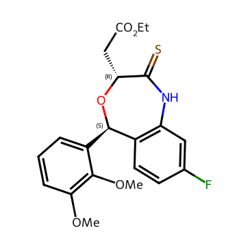 CCOC(=O)C[C@H]1O[C@H](c2cccc(OC)c2OC)c2ccc(F)cc2NC1=S